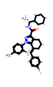 Cc1ccc(-n2nc(C(=O)N[C@H](C)C3CCCCC3)c3c2/C(=C/c2ccc(F)cc2)CCC3)c(Cl)c1